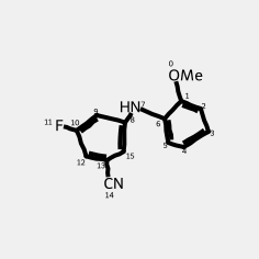 COc1ccccc1Nc1cc(F)cc(C#N)c1